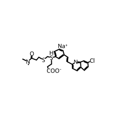 CN(C)C(=O)CCSC[SH](CCC(=O)[O-])c1cccc(C=Cc2ccc3ccc(Cl)cc3n2)c1.[Na+]